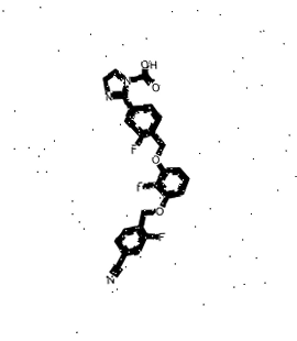 N#Cc1ccc(COc2cccc(OCc3ccc(C4=NCCN4C(=O)O)cc3F)c2F)c(F)c1